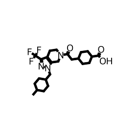 CC1CCC(Cn2nc(C(F)(F)F)c3c2CN(C(=O)CC2CCC(C(=O)O)CC2)CC3)CC1